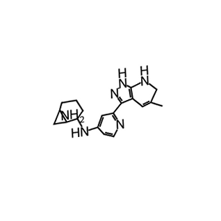 CC1=Cc2c(-c3cc(NC4CCCC5(N)CC45)ccn3)n[nH]c2NC1